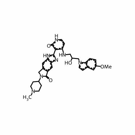 COc1ccc2c(ccn2CC(O)CNc2cc[nH]c(=O)c2-c2nc3cc4c(cc3[nH]2)CN(C2CCN(C)CC2)C4=O)c1